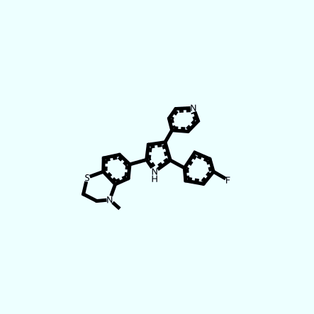 CN1CCSc2ccc(-c3cc(-c4ccncc4)c(-c4ccc(F)cc4)[nH]3)cc21